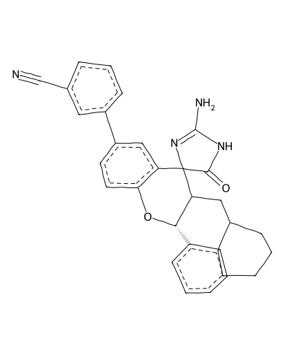 N#Cc1cccc(-c2ccc3c(c2)C2(N=C(N)NC2=O)C(CC2CCCCC2)[C@H](c2ccccc2)O3)c1